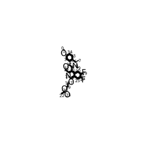 COc1ccc([C@@H](C)N(C)[C@@H]2COCc3nc(OCCOC(C)=O)c4cc(F)c(F)cc4c32)cc1